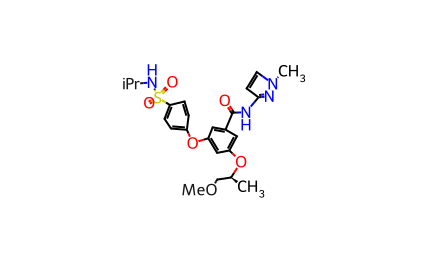 COC[C@H](C)Oc1cc(Oc2ccc(S(=O)(=O)NC(C)C)cc2)cc(C(=O)Nc2ccn(C)n2)c1